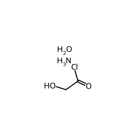 N.O.O=C(Cl)CO